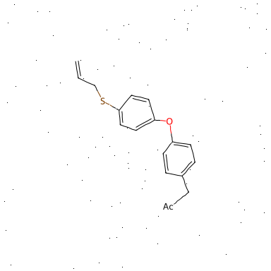 C=CCSc1ccc(Oc2ccc(CC(C)=O)cc2)cc1